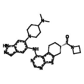 CN(C)C1CCN(c2cc3[nH]ncc3cc2Nc2ncnc3sc4c(c23)CC[C@H](C(=O)N2CCC2)C4)CC1